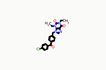 CCn1c(=O)c2ncn(Cc3ccc(C(=O)c4ccc(Cl)cc4)cc3)c2n(CC)c1=O